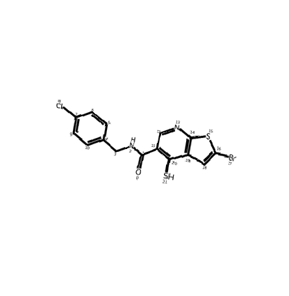 O=C(NCc1ccc(Cl)cc1)c1cnc2sc(Br)cc2c1S